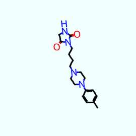 Cc1ccc(N2CCN(CCCCN3C(=O)CNC3=O)CC2)cc1